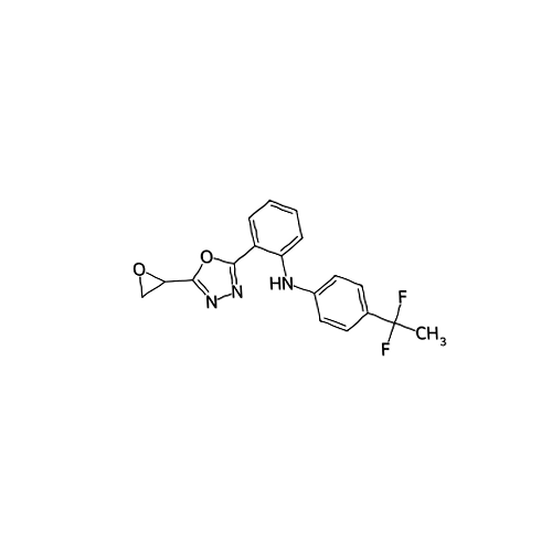 CC(F)(F)c1ccc(Nc2ccccc2-c2nnc(C3CO3)o2)cc1